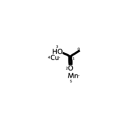 CC(=O)O.[Cu].[Mn]